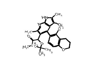 COC(=O)C(OC(C)(C)C)c1c(C)nc2[nH]c(C)c(C)c2c1-c1ccc2c(c1Cl)CCCO2